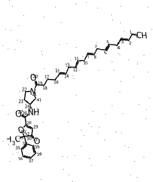 CCC=CCC=CCC=CCC=CCC=CCCCC(=O)N1CC[C@H](NC(=O)C2=CC(=O)C(C)(c3ccccc3)O2)C1